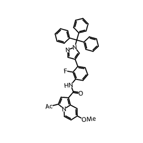 COc1ccn2c(C(C)=O)cc(C(=O)Nc3cccc(-c4cnn(C(c5ccccc5)(c5ccccc5)c5ccccc5)c4)c3F)c2c1